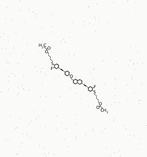 C=CC(=O)OCCCCCSc1ccc(C#Cc2ccc(OCc3ccc4cc(C#Cc5ccc(SCCCCCOC(=O)C=C)c(F)c5)ccc4c3)cc2)cc1F